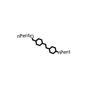 CCCCCOCC1CCC(CCC2CCC(CCCCC)CC2)CC1